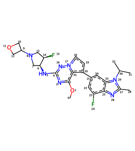 COc1nc(N[C@H]2CN(C3COC3)C[C@H]2F)nn2ccc(-c3cc(F)c4nc(C)n(C(C)C)c4c3)c12